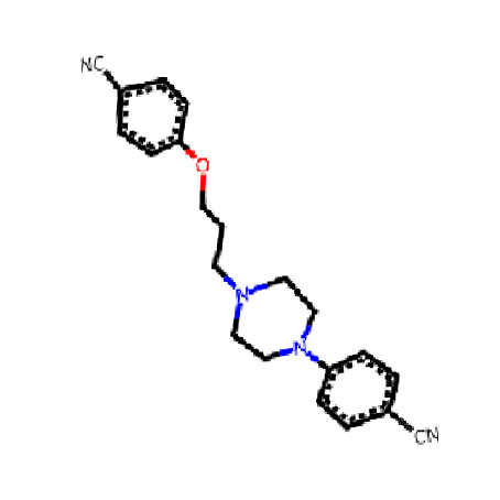 N#Cc1ccc(OCCCN2CCN(c3ccc(C#N)cc3)CC2)cc1